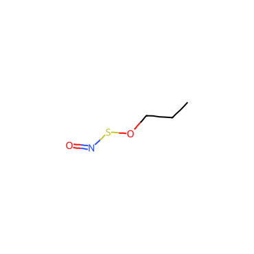 CCCOSN=O